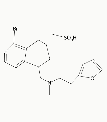 CN(CCc1ccco1)CC1CCCc2c(Br)cccc21.CS(=O)(=O)O